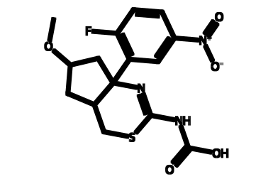 COC1CC2CSC(NC(=O)O)=NC2(c2cc([N+](=O)[O-])ccc2F)C1